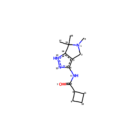 CN1Cc2c(NC(=O)C3CCC3)n[nH]c2C1(C)C